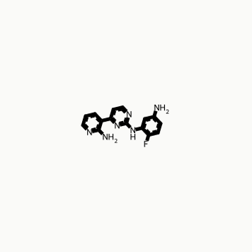 Nc1ccc(F)c(Nc2nccc(-c3cccnc3N)n2)c1